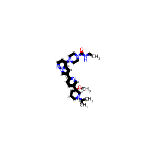 CCNC(=O)N1CCN(c2ccnn3cc(-c4ccc([C@@]5(OC)CCCN(C(C)C)C5)cn4)cc23)CC1